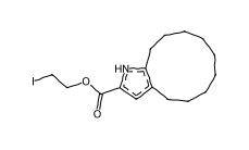 O=C(OCCI)c1cc2c([nH]1)CCCCCCCCC2